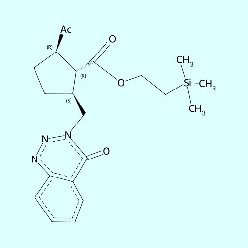 CC(=O)[C@@H]1CC[C@H](Cn2nnc3ccccc3c2=O)[C@H]1C(=O)OCC[Si](C)(C)C